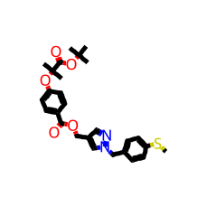 CSc1ccc(Cn2cc(COC(=O)c3ccc(OC(C)(C)C(=O)OC(C)(C)C)cc3)cn2)cc1